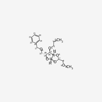 C=CCO[C@H]1[C@H]2OC(COC)O[C@H]2O[C@@H]1COCc1ccccc1